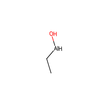 C[CH2][AlH][OH]